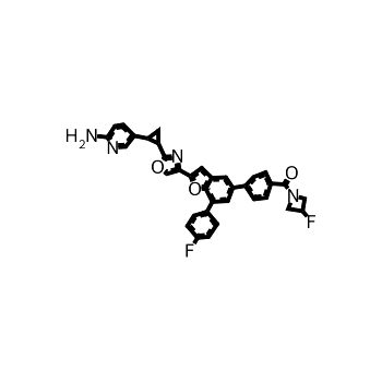 Nc1ccc(C2CC2c2nc(-c3cc4cc(-c5ccc(C(=O)N6CC(F)C6)cc5)cc(-c5ccc(F)cc5)c4o3)co2)cn1